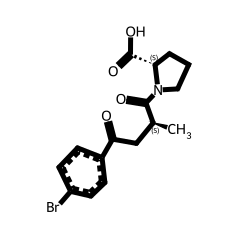 C[C@@H](CC(=O)c1ccc(Br)cc1)C(=O)N1CCC[C@H]1C(=O)O